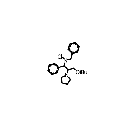 CC(C)COCC(C(c1ccccc1)N(Cl)Cc1ccccc1)N1CCCC1